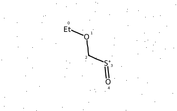 CCOC[S+]=O